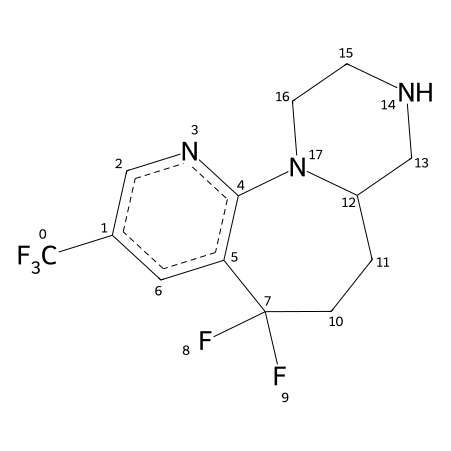 FC(F)(F)c1cnc2c(c1)C(F)(F)CCC1CNCCN21